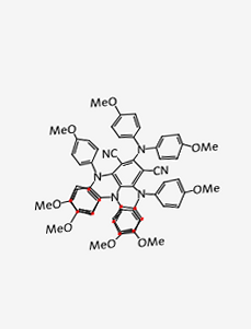 COc1ccc(N(c2ccc(OC)cc2)c2c(C#N)c(N(c3ccc(OC)cc3)c3ccc(OC)cc3)c(N(c3ccc(OC)cc3)c3ccc(OC)cc3)c(N(c3ccc(OC)cc3)c3ccc(OC)cc3)c2C#N)cc1